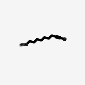 CCCCCCCCCCCCCC#C[O]